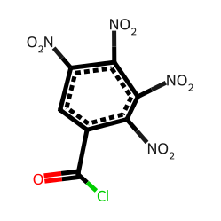 O=C(Cl)c1cc([N+](=O)[O-])c([N+](=O)[O-])c([N+](=O)[O-])c1[N+](=O)[O-]